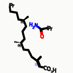 C/C(=C\C(=O)O)CCC[C@H](C)CCC[C@H](C)CCCC(C)C.CC(C)C(N)=O